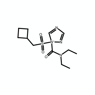 CCN(CC)C(=O)[N+]1(S(=O)(=O)CC2CCC2)C=NC=N1